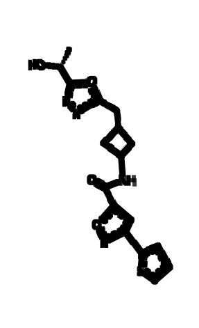 C[C@@H](O)c1nnc(CC2CC(NC(=O)c3cc(-c4cccs4)no3)C2)o1